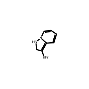 CCCC1=C2C=CC=CN2NC1